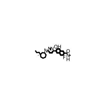 CCC[C@]1(C)CCCC[C@H](N(C)c2ccc(-c3cc4cc(F)c(C(=O)NC)cc4cc3O)nn2)C1